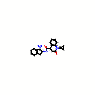 N[C@H]1c2ccccc2C[C@@H]1NC(=O)C1CC(=O)N(C2CC2)c2ccccc21